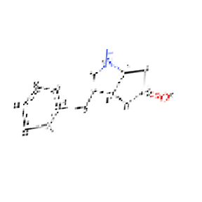 O=C1CC2NCC(Cc3ccccc3)C2C1